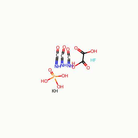 F.N=C=O.N=C=O.N=C=O.O=C(O)C(=O)O.O=P(O)(O)O.[KH]